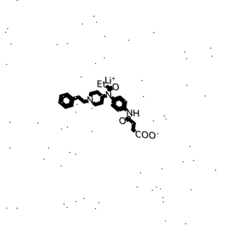 CCC(=O)N(c1ccc(NC(=O)CCC(=O)[O-])cc1)C1CCN(CCc2ccccc2)CC1.[Li+]